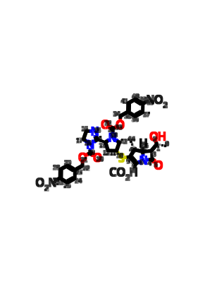 C[C@@H](O)[C@H]1C(=O)N2C(C(=O)O)=C(S[C@H]3C[C@@H](C4=NCCN4C(=O)OCc4ccc([N+](=O)[O-])cc4)N(C(=O)OCc4ccc([N+](=O)[O-])cc4)C3)[C@H](C)[C@H]12